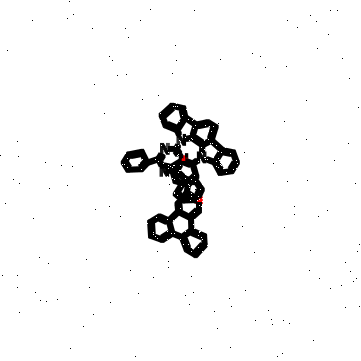 Cc1cc(-c2ccc3c4ccccc4c4ccccc4c3c2)cc(-n2c3ccccc3c3ccc4c5ccccc5n(-c5nc(-c6ccccc6)nc(-c6ccccc6)n5)c4c32)c1